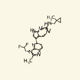 Cc1nc2ccc(-c3c[nH]c4nc(NCC5(C)CC5)ncc34)nc2n1CC(F)F